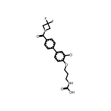 O=C(O)NCCCOc1ccc(-c2ccc(C(=O)N3CC(F)(F)C3)cc2)cc1Cl